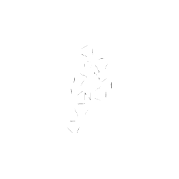 c1ccc(-c2ccc(-n3c4ccc5cccc(c5c4)n(-c4cccc5c4oc4ccccc45)c4ccc5cccc3c5c4)cc2)cc1